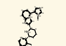 Cc1cccnc1[C@@H]1CCC[C@H](c2cn3c(-c4cncn4C)cccc3n2)N1